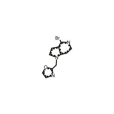 Brc1nccc2c1ccn2Cc1ncco1